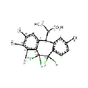 CCc1ccc2c(c1)C(C(C(=O)O)C(=O)O)c1cc(CC)c(CC)c(CC)c1C(F)(F)C2(F)F